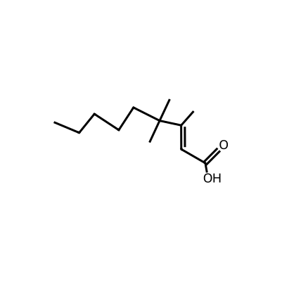 CCCCCC(C)(C)/C(C)=C/C(=O)O